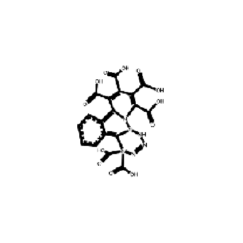 O=C(O)C1=C(C(=O)O)C2=c3ccccc3=C3N(NN=N[N+]3(C(=O)O)C(=O)O)N2C(C(=O)O)=C1C(=O)O